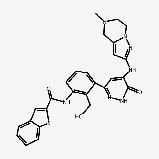 CN1CCn2nc(Nc3cc(-c4cccc(NC(=O)c5cc6ccccc6s5)c4CO)n[nH]c3=O)cc2C1